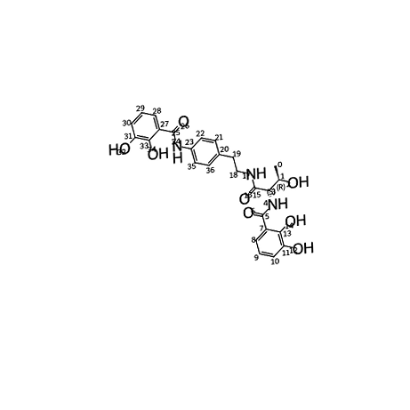 C[C@@H](O)[C@H](NC(=O)c1cccc(O)c1O)C(=O)NCCc1ccc(NC(=O)c2cccc(O)c2O)cc1